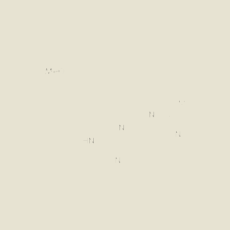 COc1ccc(Nc2ncc3cnc(=O)n(C4CCCC4)c3n2)cc1